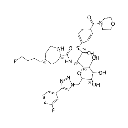 C[C@H](Sc1ccc(C(=O)N2CCOCC2)cc1)[C@@H](NC(=O)[C@@H]1CC[C@H](CCCCF)CCN1)[C@H]1OC(Cn2cc(-c3cccc(F)c3)nn2)[C@H](O)C(O)C1O